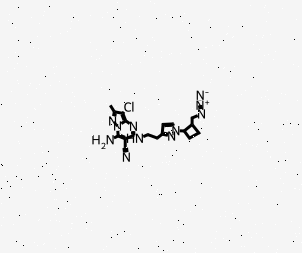 Cc1nn2c(N)c(C#N)c(NCCc3ccn(C4CCC4CN=[N+]=[N-])n3)nc2c1Cl